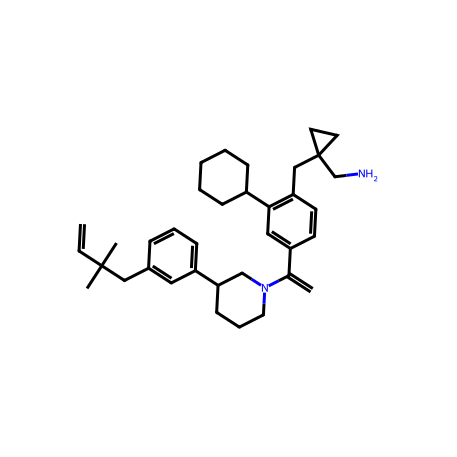 C=CC(C)(C)Cc1cccc(C2CCCN(C(=C)c3ccc(CC4(CN)CC4)c(C4CCCCC4)c3)C2)c1